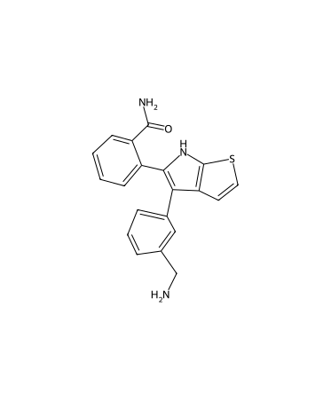 NCc1cccc(-c2c(-c3ccccc3C(N)=O)[nH]c3sccc23)c1